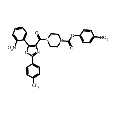 O=C(Oc1ccc([N+](=O)[O-])cc1)N1CCN(C(=O)c2nc(-c3ccc(C(F)(F)F)cc3)oc2-c2ccccc2[N+](=O)[O-])CC1